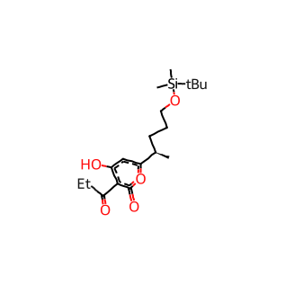 CCC(=O)c1c(O)cc([C@H](C)CCCO[Si](C)(C)C(C)(C)C)oc1=O